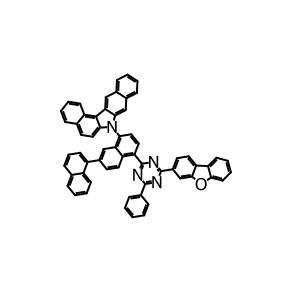 c1ccc(-c2nc(-c3ccc4c(c3)oc3ccccc34)nc(-c3ccc(-n4c5cc6ccccc6cc5c5c6ccccc6ccc54)c4cc(-c5cccc6ccccc56)ccc34)n2)cc1